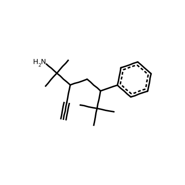 C#CC(CC(c1ccccc1)C(C)(C)C)C(C)(C)N